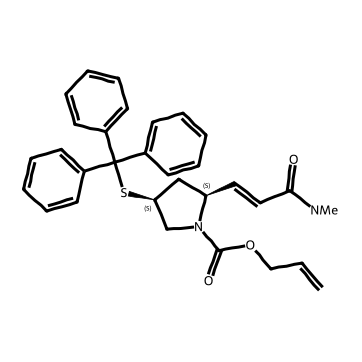 C=CCOC(=O)N1C[C@@H](SC(c2ccccc2)(c2ccccc2)c2ccccc2)C[C@H]1C=CC(=O)NC